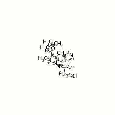 C[C@@H]1c2c(-c3ccncc3)c(-c3ccc(Cl)cc3F)nn2C[C@H](C)N1C(=O)OC(C)(C)C